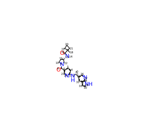 C[C@H](Nc1ccc(C(=O)N2CC[C@H](N(C)C(=O)C3(C)CCC3)C2)cn1)c1cnc2[nH]ccc2c1